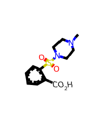 CN1CCN(S(=O)(=O)c2ccccc2C(=O)O)CC1